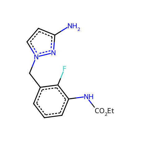 CCOC(=O)Nc1cccc(Cn2ccc(N)n2)c1F